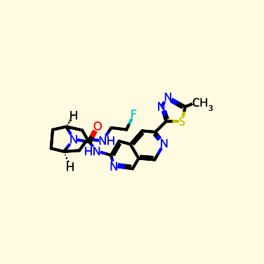 Cc1nnc(-c2cc3cc(NC(=O)N4[C@@H]5CC[C@H]4CC(NCCF)C5)ncc3cn2)s1